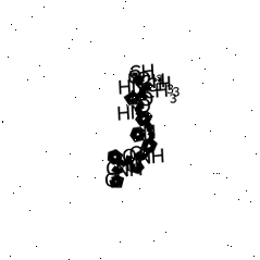 COC(=O)N[C@H](C(=O)N1CCC[C@H]1C(=O)Nc1ccc(CN(Cc2ccc(NC(=O)[C@@H]3CCCN3C(=O)[C@H](NC(=O)[C@@H]3CCCO3)c3ccccc3)cc2)c2ccccc2)cc1)C(C)(C)C